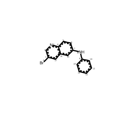 Brc1cnc2ccc(Nc3ccccc3)cc2c1